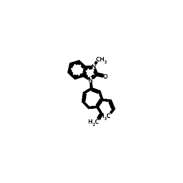 C=CC1=C(/C=C\C)C=C(n2c(=O)n(C)c3ccccc32)C=CC1